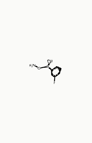 NOB(O)c1cccc(F)c1